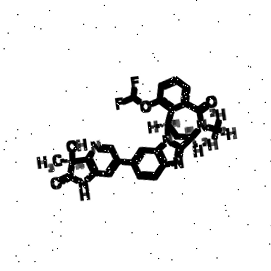 [2H]C([2H])([2H])N1C(=O)c2cccc(OC(F)F)c2[C@H]2C[C@@H]1c1nc3ccc(-c4cnc5c(c4)NC(=O)[C@@]5(C)O)cc3n12